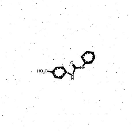 O=C(Nc1ccccc1)Nc1ccc(C(=O)O)cc1